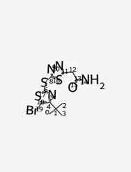 CC(C)(C)c1nc(Sc2nnc(CC(N)=O)s2)sc1Br